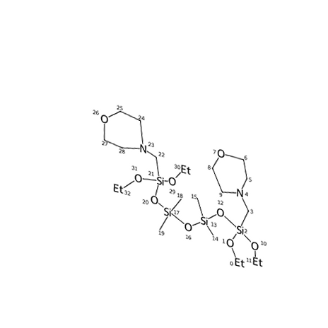 CCO[Si](CN1CCOCC1)(OCC)O[Si](C)(C)O[Si](C)(C)O[Si](CN1CCOCC1)(OCC)OCC